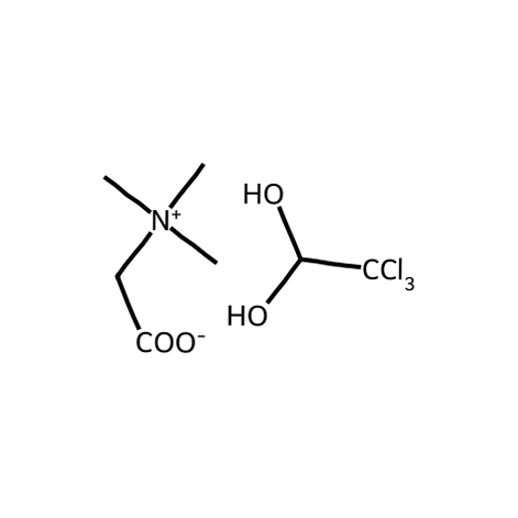 C[N+](C)(C)CC(=O)[O-].OC(O)C(Cl)(Cl)Cl